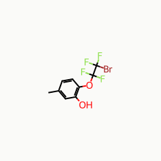 Cc1ccc(OC(F)(F)C(F)(F)Br)c(O)c1